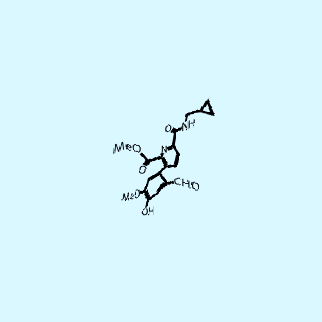 COC(=O)c1nc(C(=O)NCC2CC2)ccc1-c1cc(OC)c(O)cc1C=O